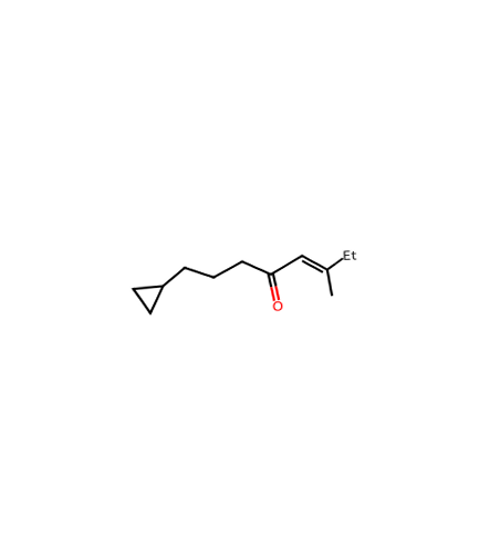 CC/C(C)=C/C(=O)CCCC1CC1